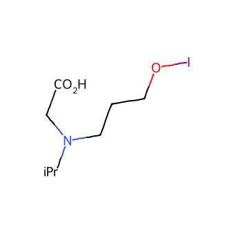 CC(C)N(CCCOI)CC(=O)O